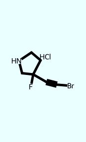 Cl.FC1(C#CBr)CCNC1